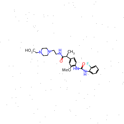 COc1cc(C(C)C(=O)NCCN2CCN(CC(=O)O)CC2)ccc1NC(=O)Nc1ccccc1F